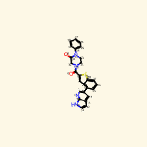 O=C(c1cc2c(-c3cnc4[nH]ccc4c3)cccc2s1)N1CCN(c2ccccc2)C(=O)C1